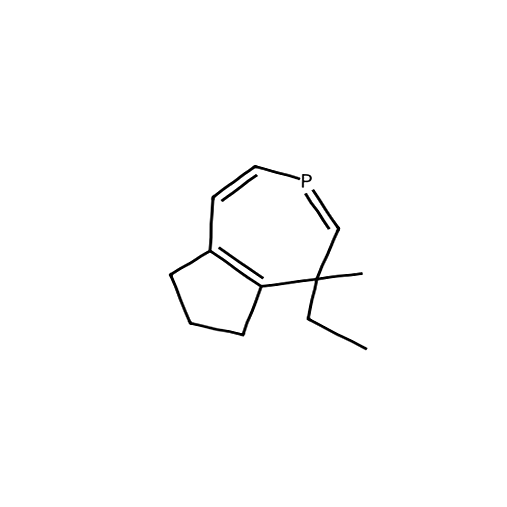 CCC1(C)C=PC=CC2=C1CCC2